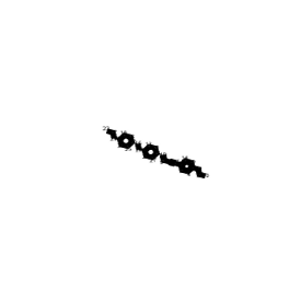 CCCc1ccc(C#CC=C[C@H]2CC[C@H](CC[C@H]3CC[C@H](CCC)CC3)CC2)cc1